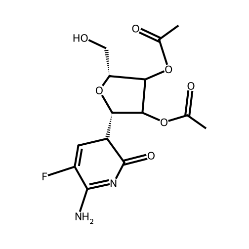 CC(=O)OC1C(OC(C)=O)[C@@H](CO)O[C@H]1C1C=C(F)C(N)=NC1=O